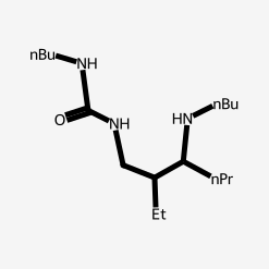 CCCCNC(=O)NCC(CC)C(CCC)NCCCC